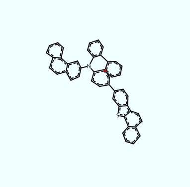 c1ccc(-c2ccccc2N(c2ccc(-c3ccc4c(c3)sc3c5ccccc5ccc43)cc2)c2ccc3ccc4ccccc4c3c2)cc1